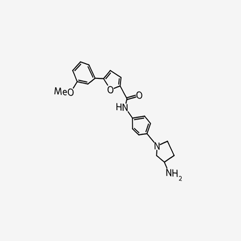 COc1cccc(-c2ccc(C(=O)Nc3ccc(N4CCC(N)C4)cc3)o2)c1